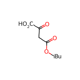 CCC(C)OC(=O)CC(=O)C(=O)O